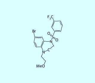 COCCN1CCN(S(=O)(=O)c2cccc(C(F)(F)F)c2)c2cc(Br)ccc21